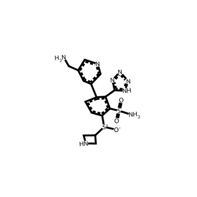 NCc1cncc(-c2ccc([S+]([O-])C3CNC3)c(S(N)(=O)=O)c2-c2nnn[nH]2)c1